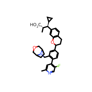 Cc1cc(-c2ccc(C3CCc4ccc([C@H](C5CC5)[C@H](C)C(=O)O)cc4O3)cc2CN2C3CCC2COC3)c(F)cn1